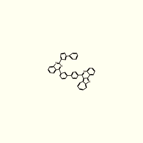 c1ccc(-c2cccc(-c3nc(-c4cccc(-c5ccc(-c6nc7ccccc7c7nc8cccccc-8c67)cc5)c4)c4ccccc4n3)c2)cc1